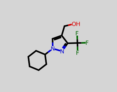 OCc1cn(C2CCCCC2)nc1C(F)(F)F